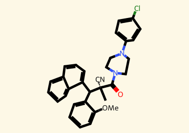 COc1ccccc1C(c1cccc2ccccc12)[C@@](C)(C#N)C(=O)N1CCN(c2ccc(Cl)cc2)CC1